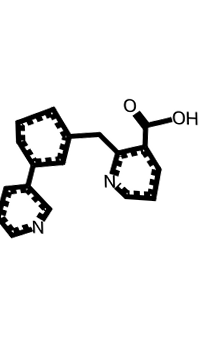 O=C(O)c1cccnc1Cc1cccc(-c2cccnc2)c1